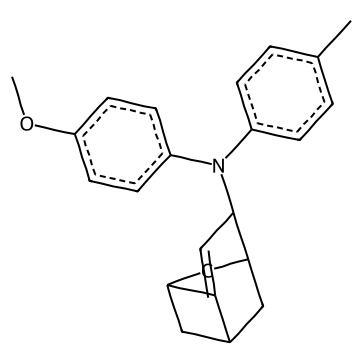 COc1ccc(N(c2ccc(C)cc2)C2C=C3C4CC3CC2C4)cc1